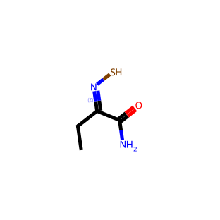 CC/C(=N/S)C(N)=O